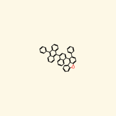 c1ccc(-c2ccc3oc4ccccc4c3c2-c2ccc(-c3c4ccccc4c(-c4ccccc4)c4ccccc34)c3ccccc23)cc1